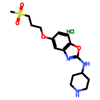 CS(=O)(=O)CCCOc1ccc2oc(NC3CCNCC3)nc2c1.Cl